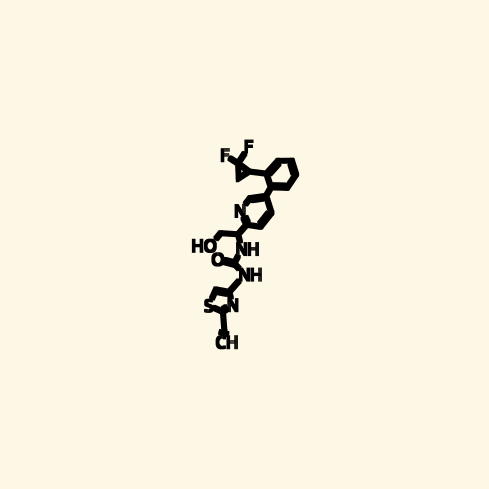 C#Cc1nc(NC(=O)NC(CO)c2ccc(-c3ccccc3C3CC3(F)F)cn2)cs1